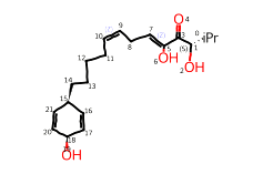 CC(C)[C@H](O)C(=O)/C(O)=C/C/C=C\CCCC[C@H]1C=C[C@@H](O)C=C1